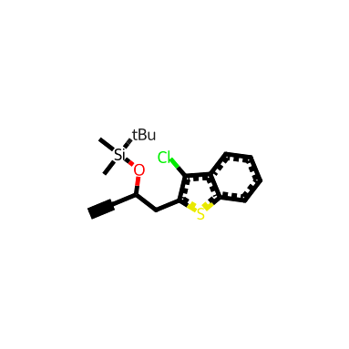 C#CC(Cc1sc2ccccc2c1Cl)O[Si](C)(C)C(C)(C)C